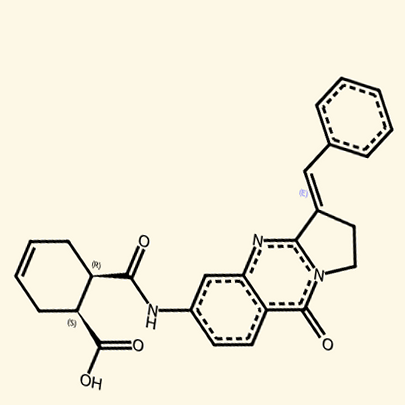 O=C(O)[C@H]1CC=CC[C@H]1C(=O)Nc1ccc2c(=O)n3c(nc2c1)/C(=C/c1ccccc1)CC3